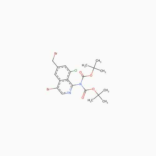 CC(C)(C)OC(=O)N(C(=O)OC(C)(C)C)c1ncc(Br)c2cc(CBr)cc(Cl)c12